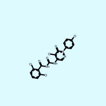 O=C(NC(=O)c1c(Cl)cccc1Cl)Nc1cnn(-c2ccc(Cl)cc2)c(=O)c1Cl